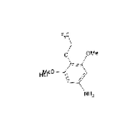 COc1cc(N)cc(OC)c1OCC(F)(F)F.Cl